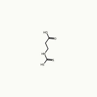 O=C(O)CCNC(=S)S